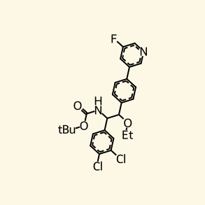 CCOC(c1ccc(-c2cncc(F)c2)cc1)C(NC(=O)OC(C)(C)C)c1ccc(Cl)c(Cl)c1